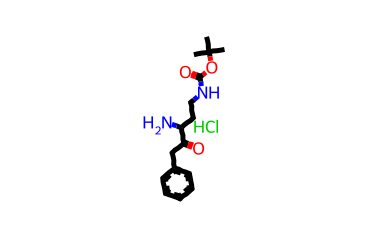 CC(C)(C)OC(=O)NCCC(N)C(=O)Cc1ccccc1.Cl